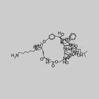 CC[C@H](C)[C@H]1NC(=O)[C@@H](NC(=O)[C@H](C)[C@H](O)C(C)C)[C@@H](C)OC(=O)[C@@H]2COC(=O)CNC(=O)/C=C/[C@](O)(CNCCCCCCN)[C@@H](C)Oc3ccc(cc3)[C@H](NC1=O)C(=O)N(C)[C@@H](Cc1ccccc1)C(=O)N[C@H]([C@@H](C)O)C(=O)N2